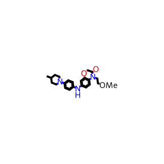 COCCN1C(=O)COc2cc(Nc3ccc(N4CCC(C)CC4)cc3)ccc21